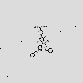 COC(OC)C1CCN(c2cc(F)c3c(c2F)n(C)c(=O)n3-c2ccc(OCc3ccccc3)nc2OCc2ccccc2)CC1